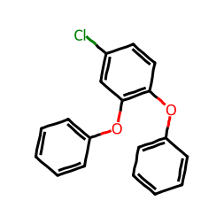 Clc1ccc(Oc2ccccc2)c(Oc2ccccc2)c1